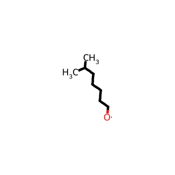 CC(C)CCCCC[O]